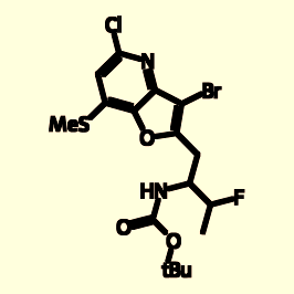 CSc1cc(Cl)nc2c(Br)c(CC(NC(=O)OC(C)(C)C)C(C)F)oc12